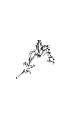 NC(=O)CC[C@H](N)C(O)N1CCC[C@@H](n2nc(-c3ccc(Oc4ccccc4)cc3)c3c(N)ncnc32)C1